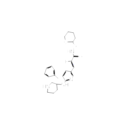 O=C(NOC1CCCCO1)/C(F)=C/c1ccc(N[C@@]2(Cc3ccccc3)CCCNC2)nc1